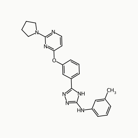 Cc1cccc(Nc2nnc(-c3cccc(Oc4ccnc(N5CCCC5)n4)c3)[nH]2)c1